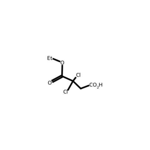 CCOC(=O)C(Cl)(Cl)CC(=O)O